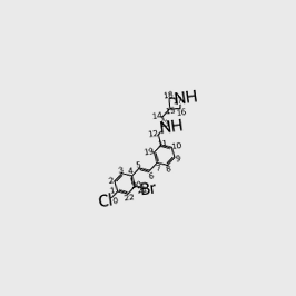 Clc1ccc(/C=C/c2cccc(CNCC3CNC3)c2)c(Br)c1